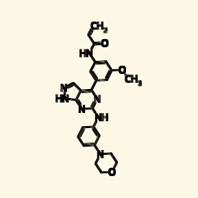 C=CC(=O)Nc1cc(OC)cc(-c2nc(Nc3cccc(N4CCOCC4)c3)nc3[nH]ncc23)c1